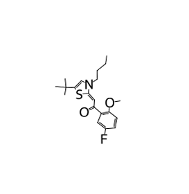 CCCCN1C=C(C(C)(C)C)S/C1=C\C(=O)c1cc(F)ccc1OC